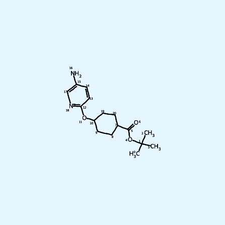 CC(C)(C)OC(=O)C1CCC(Oc2ccc(N)cn2)CC1